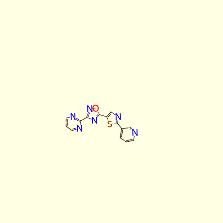 c1cnc(-c2noc(-c3cnc(-c4cccnc4)s3)n2)nc1